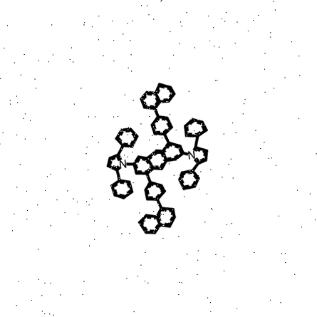 c1ccc(-c2ccc(-c3ccccc3)n2-c2cc(-c3ccc(-c4cccc5ccccc45)cc3)c3cc4cc(-n5c(-c6ccccc6)ccc5-c5ccccc5)cc(-c5ccc(-c6cccc7ccccc67)cc5)c4cc3c2)cc1